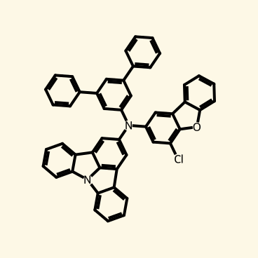 Clc1cc(N(c2cc(-c3ccccc3)cc(-c3ccccc3)c2)c2cc3c4ccccc4n4c5ccccc5c(c2)c34)cc2c1oc1ccccc12